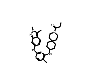 CCC(=O)N1CCC2(CCC(Nc3nc(Nc4ccc5c(C)n(C)nc5c4)ncc3C)CC2)CC1